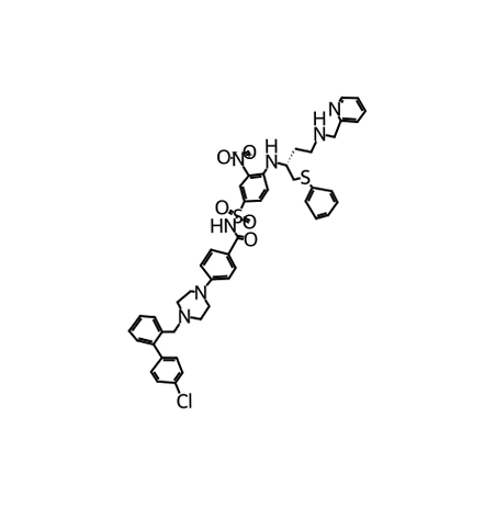 O=C(NS(=O)(=O)c1ccc(N[C@H](CCNCc2ccccn2)CSc2ccccc2)c([N+](=O)[O-])c1)c1ccc(N2CCN(Cc3ccccc3-c3ccc(Cl)cc3)CC2)cc1